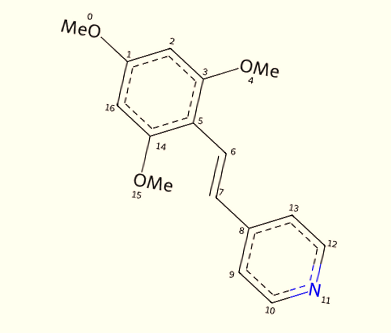 COc1cc(OC)c(/C=C/c2ccncc2)c(OC)c1